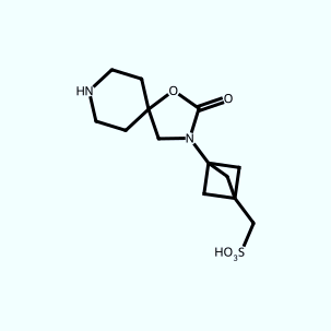 O=C1OC2(CCNCC2)CN1C12CC(CS(=O)(=O)O)(C1)C2